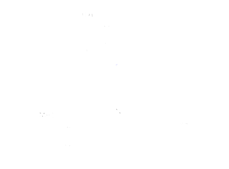 COC(=O)C1CCN(c2cc(C(F)(F)F)ccc2/C=C/C(=O)OC(C)(C)C)CC1